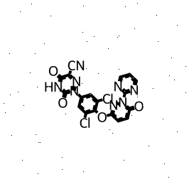 N#Cc1nn(-c2cc(Cl)c(Oc3ccc(=O)n(-c4ncccn4)n3)c(Cl)c2)c(=O)[nH]c1=O